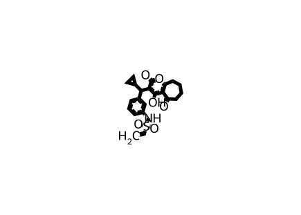 C=CS(=O)(=O)Nc1cccc(C(c2c(O)c3c(oc2=O)CCCCC3=O)C2CC2)c1